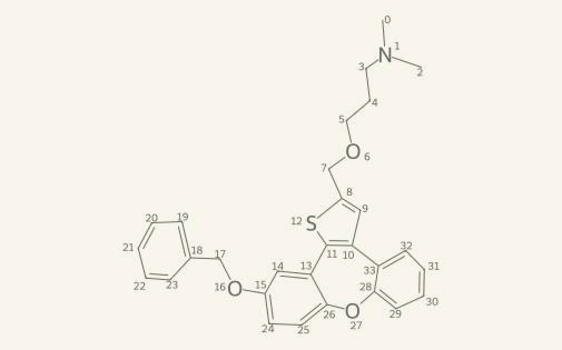 CN(C)CCCOCc1cc2c(s1)-c1cc(OCc3ccccc3)ccc1Oc1ccccc1-2